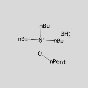 CCCCCO[N+](CCCC)(CCCC)CCCC.[BH4-]